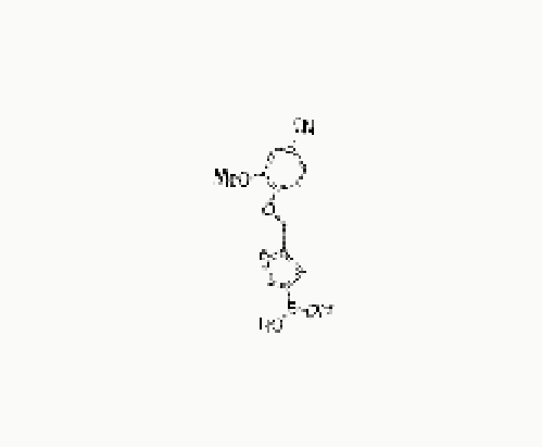 COc1cc(C#N)ccc1OCc1cc(B(O)O)cs1